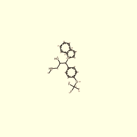 CNCC(O)C(c1ccc(OC(F)(F)F)cc1)n1ccc2ccccc21